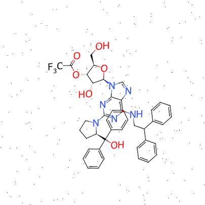 O=C(O[C@H]1[C@@H](O)[C@H](n2cnc3c(NCC(c4ccccc4)c4ccccc4)nc(N4CCC[C@@H]4C(O)(c4ccccc4)c4ccccc4)nc32)O[C@@H]1CO)C(F)(F)F